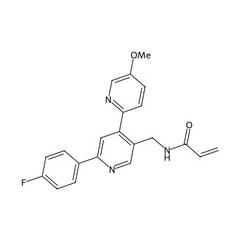 C=CC(=O)NCc1cnc(-c2ccc(F)cc2)cc1-c1ccc(OC)cn1